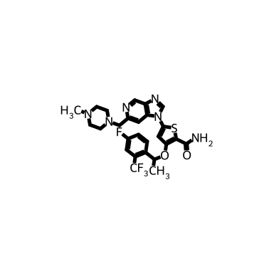 CC(Oc1cc(-n2cnc3cnc(CN4CCN(C)CC4)cc32)sc1C(N)=O)c1ccc(F)cc1C(F)(F)F